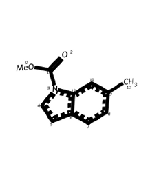 COC(=O)n1ccc2ccc(C)cc21